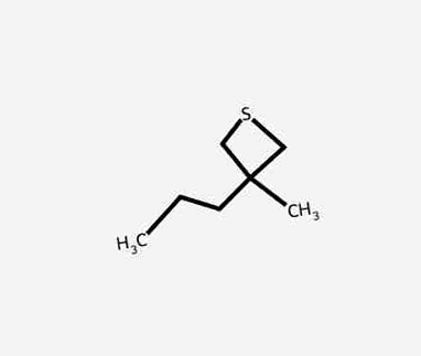 CCCC1(C)CSC1